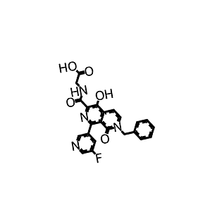 O=C(O)CNC(=O)c1nc(-c2cncc(F)c2)c2c(=O)n(Cc3ccccc3)ccc2c1O